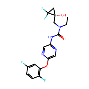 CCN(C[C@]1(O)CC1(F)F)C(=O)Nc1cnc(Oc2cc(F)ccc2F)cn1